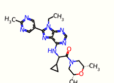 CCn1c(-c2cnc(C)nc2)nc2c(N[C@@H](C(=O)N3C[C@@H](C)O[C@@H](C)C3)C3CC3)ncnc21